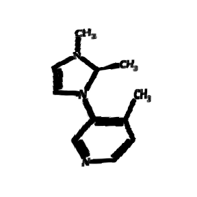 Cc1ccncc1N1C=CN(C)[C@H]1C